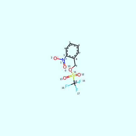 O=[N+]([O-])c1ccccc1COS(=O)(=O)C(F)(F)F